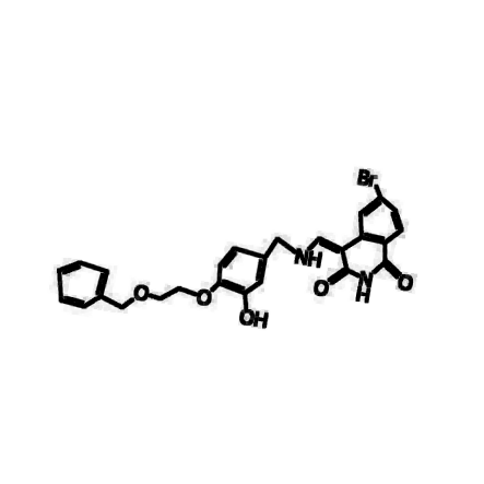 O=C1NC(=O)c2ccc(Br)cc2/C1=C/NCc1ccc(OCCOCc2ccccc2)c(O)c1